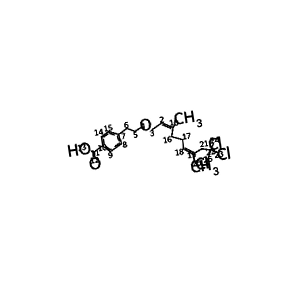 CC(=CCOCCc1ccc(C(=O)O)cc1)CCC=C(C)CC(Cl)(Cl)Cl